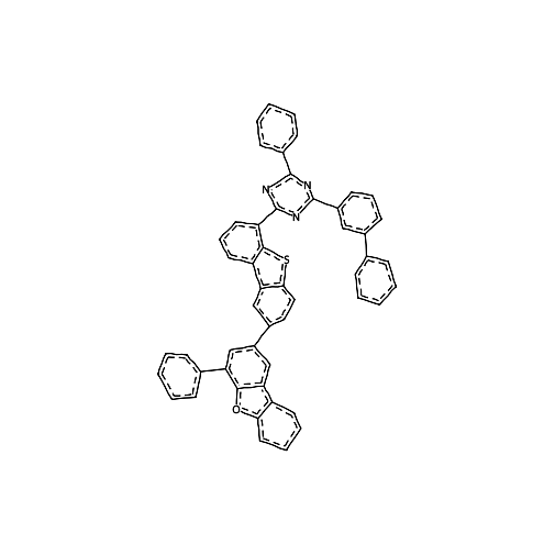 c1ccc(-c2cccc(-c3nc(-c4ccccc4)nc(-c4cccc5c4sc4ccc(-c6cc(-c7ccccc7)c7oc8ccccc8c7c6)cc45)n3)c2)cc1